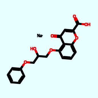 O=C(O)c1cc(=O)c2c(OCC(O)COc3ccccc3)cccc2o1.[Na]